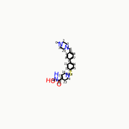 CN1CCN(Cc2ccc(-c3ccc(SN4CC=C(C(=O)NO)CC4)cc3)cc2)CC1